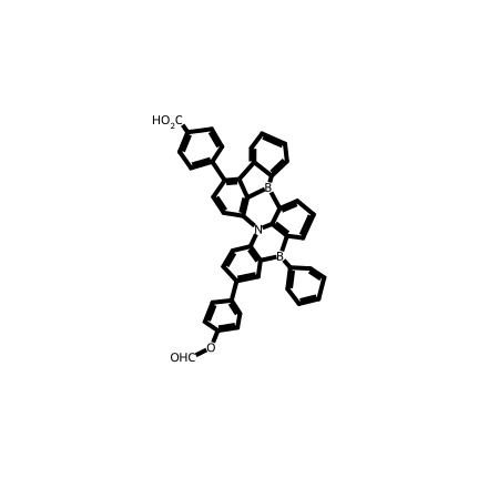 O=COc1ccc(-c2ccc3c(c2)B(c2ccccc2)c2cccc4c2N3c2ccc(-c3ccc(C(=O)O)cc3)c3c2B4c2ccccc2-3)cc1